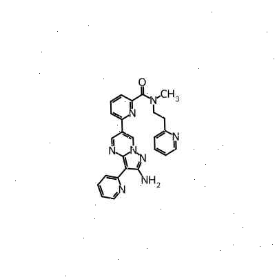 CN(CCc1ccccn1)C(=O)c1cccc(-c2cnc3c(-c4ccccn4)c(N)nn3c2)n1